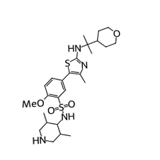 COc1ccc(-c2sc(NC(C)(C)C3CCOCC3)nc2C)cc1S(=O)(=O)NC1C(C)CNCC1C